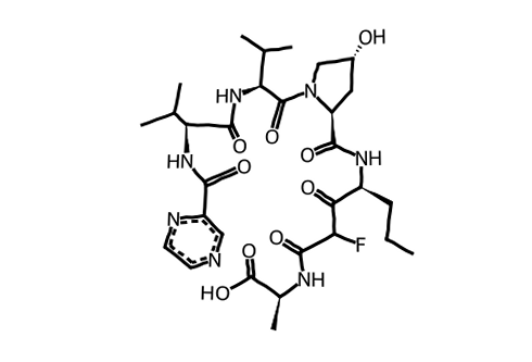 CCC[C@H](NC(=O)[C@@H]1C[C@@H](O)CN1C(=O)[C@@H](NC(=O)[C@@H](NC(=O)c1cnccn1)C(C)C)C(C)C)C(=O)C(F)C(=O)N[C@@H](C)C(=O)O